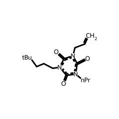 C=CCn1c(=O)n(CCC)c(=O)n(CCCC(C)(C)C)c1=O